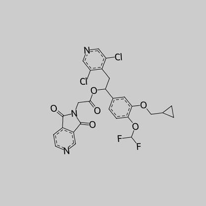 O=C(CN1C(=O)c2ccncc2C1=O)OC(Cc1c(Cl)cncc1Cl)c1ccc(OC(F)F)c(OCC2CC2)c1